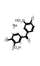 O=C(c1ccc(Cl)c(S(=O)(=O)O)c1)c1ccc(Cl)c(S(=O)(=O)O)c1.[Na]